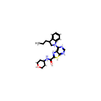 BCCC1CN(c2ncnc3sc(C(=O)NC4CCOCC4)nc23)c2ccccc21